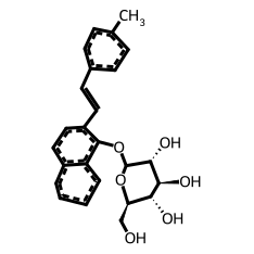 Cc1ccc(/C=C/c2ccc3ccccc3c2OC2O[C@H](CO)[C@@H](O)[C@H](O)[C@H]2O)cc1